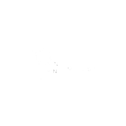 Cc1cc(C)c2c(c1)c(C)nn2COCC[Si](C)(C)C